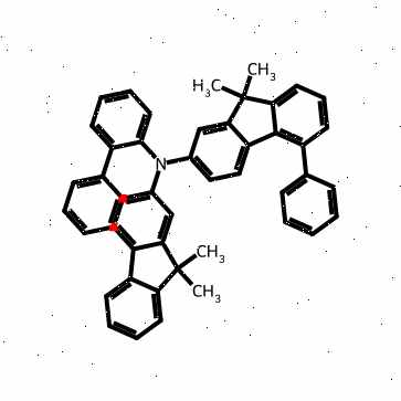 CC1(C)c2ccccc2-c2ccc(N(c3ccc4c(c3)C(C)(C)c3cccc(-c5ccccc5)c3-4)c3ccccc3-c3ccccc3)cc21